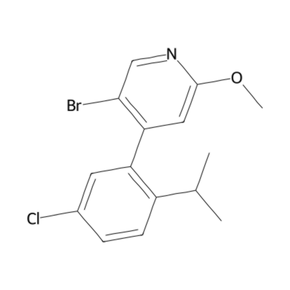 COc1cc(-c2cc(Cl)ccc2C(C)C)c(Br)cn1